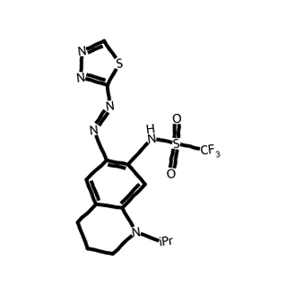 CC(C)N1CCCc2cc(N=Nc3nncs3)c(NS(=O)(=O)C(F)(F)F)cc21